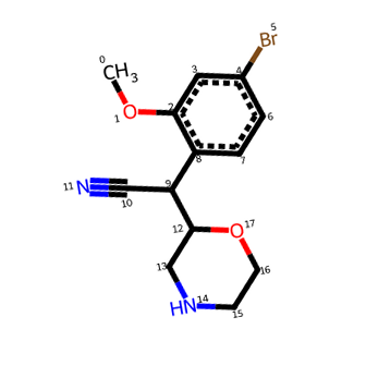 COc1cc(Br)ccc1C(C#N)C1CNCCO1